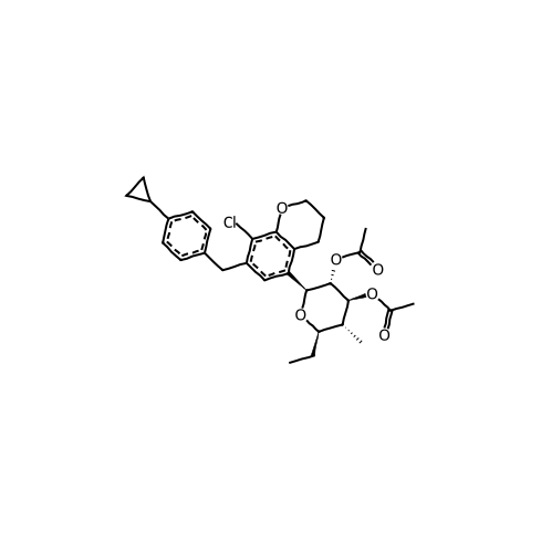 CC[C@H]1O[C@@H](c2cc(Cc3ccc(C4CC4)cc3)c(Cl)c3c2CCCO3)[C@H](OC(C)=O)[C@@H](OC(C)=O)[C@@H]1C